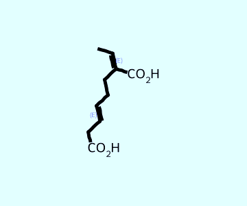 C/C=C(\CC/C=C/CC(=O)O)C(=O)O